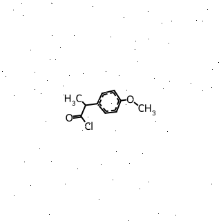 COc1ccc(C(C)C(=O)Cl)cc1